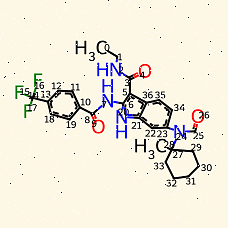 CCNC(=O)c1c(NC(=O)c2ccc(C(F)(F)F)cc2)[nH]c2cc(N(C=O)C3(C)CCCCC3)ccc12